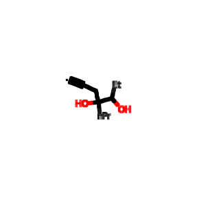 [C]#CCC(O)(CCC)C(O)CC